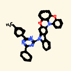 Cc1ccc(-c2nc(-c3ccccc3)nc(-n3c4ccccc4c4cc5c(cc43)Oc3cccc4c3N5c3ccccc3O4)n2)cc1